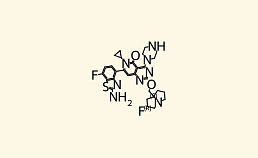 Nc1nc2c(-c3cc4nc(OC[C@@]56CCCN5C[C@H](F)C6)nc(N5CCNCC5)c4c(=O)n3C3CC3)ccc(F)c2s1